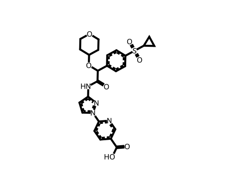 O=C(O)c1ccc(-n2ccc(NC(=O)C(OC3CCOCC3)c3ccc(S(=O)(=O)C4CC4)cc3)n2)nc1